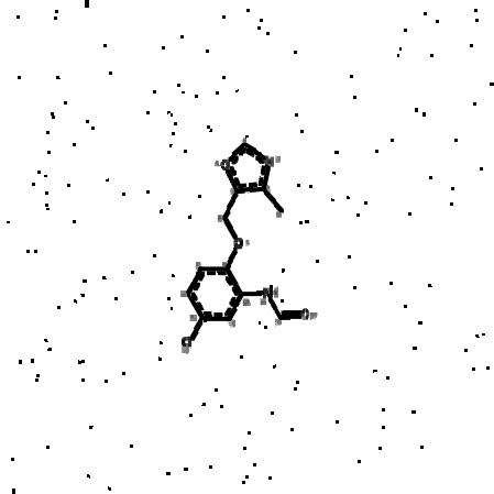 Cc1ncoc1COc1ccc(Cl)cc1NC=O